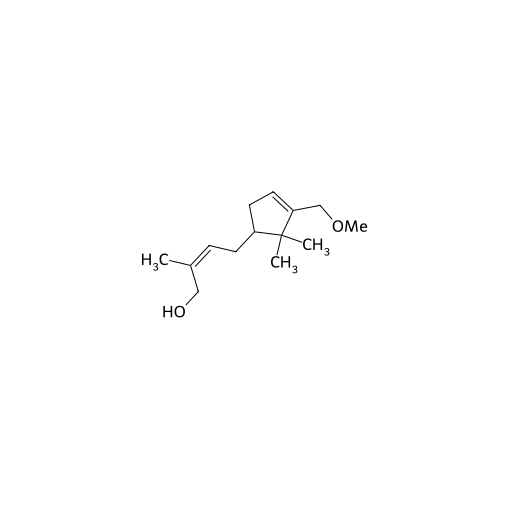 COCC1=CCC(CC=C(C)CO)C1(C)C